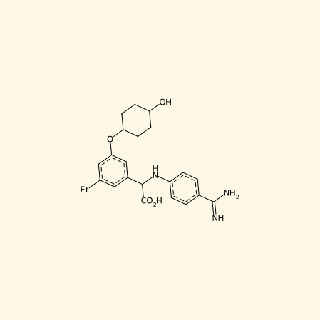 CCc1cc(OC2CCC(O)CC2)cc(C(Nc2ccc(C(=N)N)cc2)C(=O)O)c1